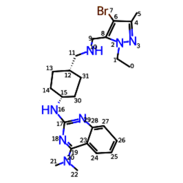 CCn1nc(C)c(Br)c1CNC[C@H]1CC[C@@H](Nc2nc(N(C)C)c3ccccc3n2)CC1